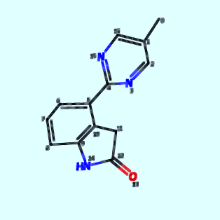 Cc1cnc(-c2cccc3c2CC(=O)N3)nc1